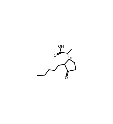 CCCCCC1C(=O)CC[C@H]1C(C)C(=O)O